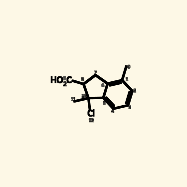 Cc1cccc2c1CC(C(=O)O)C2(C)Cl